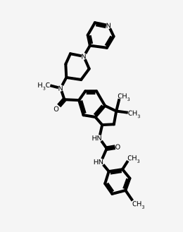 Cc1ccc(NC(=O)NC2CC(C)(C)c3ccc(C(=O)N(C)C4CCN(c5ccncc5)CC4)cc32)c(C)c1